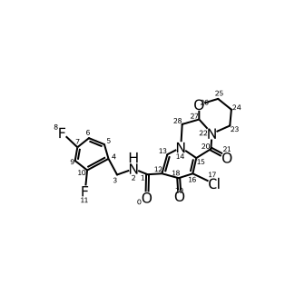 O=C(NCc1ccc(F)cc1F)c1cn2c(c(Cl)c1=O)C(=O)N1CCCOC1C2